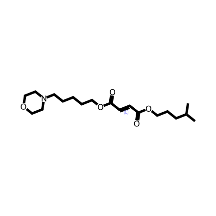 CC(C)CCCOC(=O)/C=C/C(=O)OCCCCCN1CCOCC1